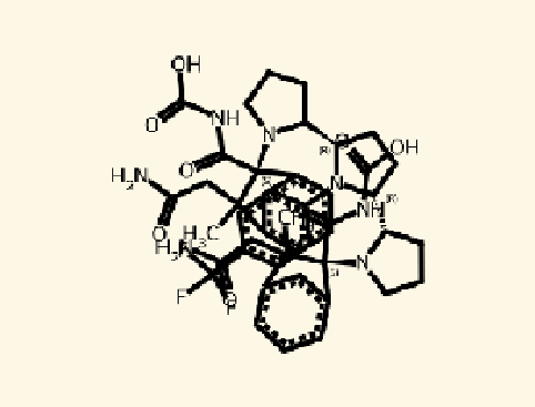 CC1(CC(N)=O)c2cccc(c2)[C@]1(C(=O)NC(=O)O)N1CCCC1[C@H]1CC[C@H](C2CCCN2[C@@]2(C(=O)NC(=O)O)c3cccc(c3)C2(C)CC(N)=O)N1c1ccc(C(F)(F)F)cc1